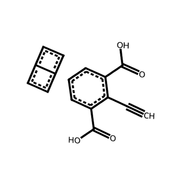 C#Cc1c(C(=O)O)cccc1C(=O)O.c1cc2ccc1-2